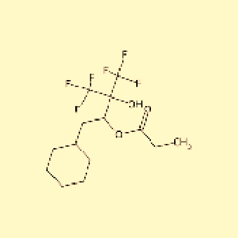 CCC(=O)OC(CC1CCCCC1)C(O)(C(F)(F)F)C(F)(F)F